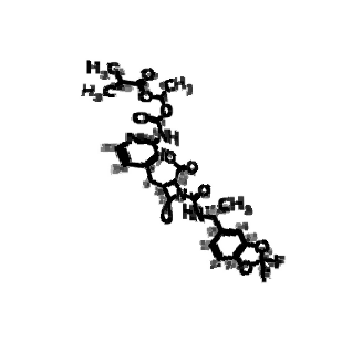 CC(OC(=O)Nc1cc(CC2C(=O)N(C(=O)N[C@H](C)c3ccc4c(c3)OC(F)(F)O4)[C@@H]2C(=O)O)ccn1)OC(=O)C(C)C